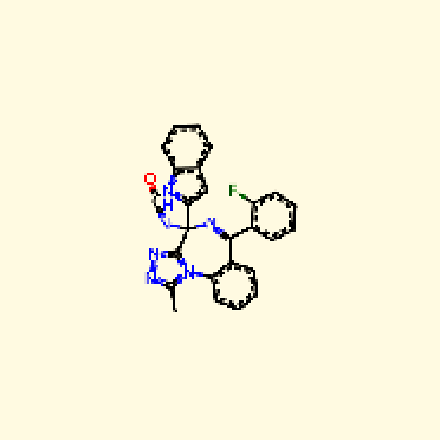 Cc1nnc2n1-c1ccccc1C(c1ccccc1F)=NC2(N=C=O)c1cc2ccccc2[nH]1